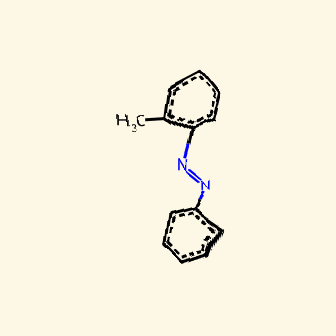 Cc1ccccc1N=Nc1ccccc1